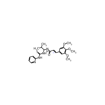 COc1cc(/C=C/C(=O)NC(NC(=S)Nc2ccccn2)C(C)C)cc(OC)c1OC